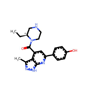 CC[C@H]1CNCCN1C(=O)c1cc(-c2ccc(O)cc2)nc2[nH]nc(C)c12